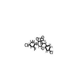 O=C1CN(c2ncc(Cl)cc2F)C(=O)C2(COC2)N1Cc1ccc(Cl)cc1